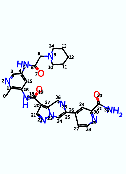 Cc1ncc(NC(=O)CN2CCCCC2)cc1NC(=O)c1cnn2cc(-c3ccnc(C(N)=O)c3)ncc12